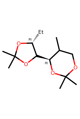 CC[C@H]1OC(C)(C)OC1[C@@H]1OC(C)(C)OCC1C